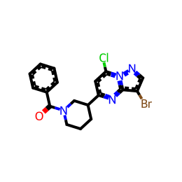 O=C(c1ccccc1)N1CCCC(c2cc(Cl)n3ncc(Br)c3n2)C1